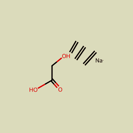 C=C.C=C.C=C.O=C(O)CO.[Na]